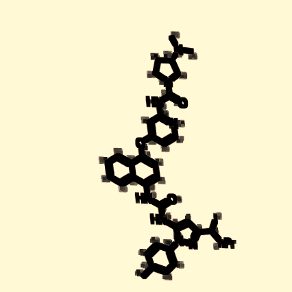 CCCC(I)c1cc(NC(=O)Nc2ccc(Oc3ccnc(NC(=O)N4CC[C@@H](N(C)C)C4)c3)c3ccccc23)n(-c2ccc(C)cc2)n1